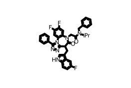 CC(C)N(Cc1ccccc1)C(=O)CN1C(=O)C(Cc2c[nH]c3ccc(F)cc23)c2nnc(-c3ccccc3)n2-c2cc(F)c(F)cc21